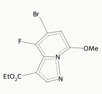 CCOC(=O)c1cnn2c(OC)cc(Br)c(F)c12